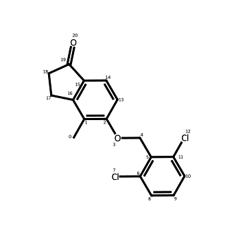 Cc1c(OCc2c(Cl)cccc2Cl)ccc2c1CCC2=O